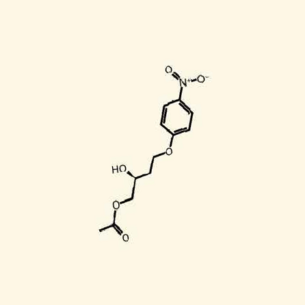 CC(=O)OC[C@@H](O)CCOc1ccc([N+](=O)[O-])cc1